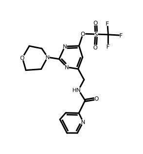 O=C(NCc1cc(OS(=O)(=O)C(F)(F)F)nc(N2CCOCC2)n1)c1ccccn1